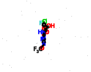 O=C(NC12CC(n3cc4c(n3)CN(CCOC(F)(F)F)C4)(C1)C2)[C@H]1C[C@@H](O)c2cc(Cl)c(F)cc2O1